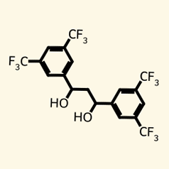 OC(CC(O)c1cc(C(F)(F)F)cc(C(F)(F)F)c1)c1cc(C(F)(F)F)cc(C(F)(F)F)c1